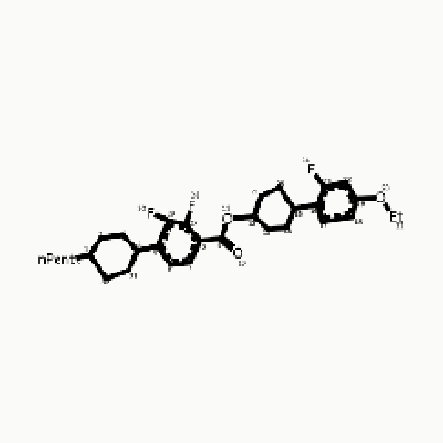 CCCCCC1CCC(c2ccc(C(=O)OC3CCC(c4ccc(OCC)cc4F)CC3)c(F)c2F)CC1